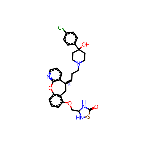 O=C1NC(COc2cccc3c2C/C(=C/CCN2CCC(O)(c4ccc(Cl)cc4)CC2)c2cccnc2O3)NS1